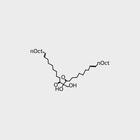 CCCCCCCCC=CCCCCCCCC(=O)C(O)(CO)C(=O)CCCCCCCC=CCCCCCCCC